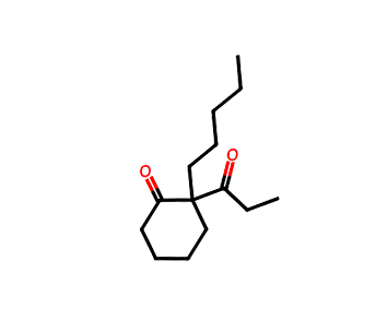 CCCCCC1(C(=O)CC)CCCCC1=O